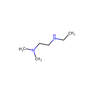 [CH2]N(C)CCNCC